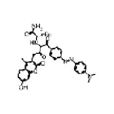 CCCC[C@H](NC(C(=O)Cc1c(C)c2ccc(O)cc2oc1=O)C(=O)c1ccc(N=Nc2ccc(N(C)C)cc2)cc1)C(N)=O